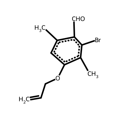 C=CCOc1cc(C)c(C=O)c(Br)c1C